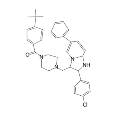 CC(C)(C)c1ccc(C(=O)N2CCN(CC3C(c4ccc(Cl)cc4)NC4C=CC(c5ccccc5)=CN43)CC2)cc1